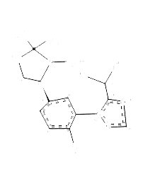 CC1(C)OC[C@H](c2ccc(Cl)c(-n3ncnc3C(F)F)c2)N1C(=O)O